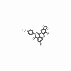 O=c1c2cc(F)ccc2c(-c2cc3c(c(F)c2F)OCO3)nn1-c1ccc(C(F)(F)F)cc1